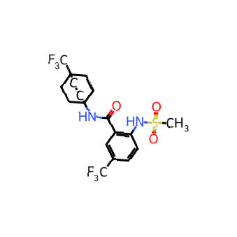 CS(=O)(=O)Nc1ccc(C(F)(F)F)cc1C(=O)NC12CCC(C(F)(F)F)(CC1)CC2